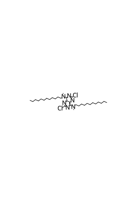 CCCCCCCCCCCCN(C)c1nc(Cl)nc2c(N(C)CCCCCCCCCCCC)nc(Cl)nc12